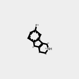 Fc1ccc2c(c1)C1=C(CCNC1)C2